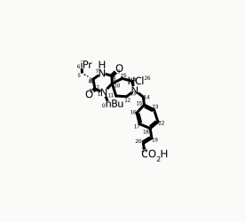 CCCCN1C(=O)[C@H](CC(C)C)NC(=O)C12CCN(Cc1ccc(C=CC(=O)O)cc1)CC2.Cl